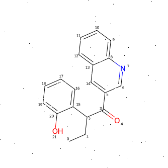 CCC(C(=O)c1cnc2ccccc2c1)c1ccccc1O